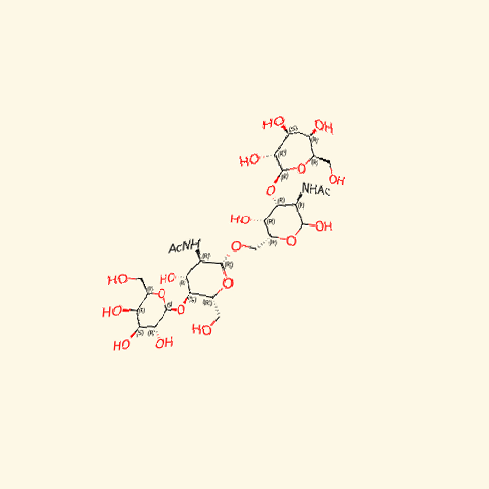 CC(=O)N[C@H]1[C@H](OC[C@H]2OC(O)[C@H](NC(C)=O)[C@@H](O[C@@H]3O[C@H](CO)[C@H](O)[C@H](O)[C@H]3O)[C@H]2O)O[C@H](CO)[C@@H](O[C@@H]2O[C@H](CO)[C@H](O)[C@H](O)[C@H]2O)[C@@H]1O